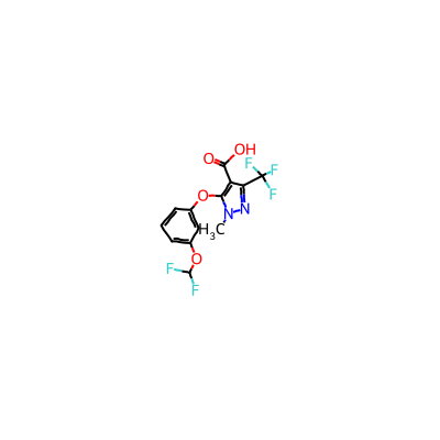 Cn1nc(C(F)(F)F)c(C(=O)O)c1Oc1cccc(OC(F)F)c1